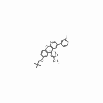 CC(C)(C)COc1ccc2c(c1)[C@@]1(COC(N)=N1)c1cc(-c3ccnc(F)c3)cnc1O2